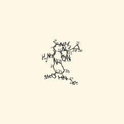 CO[C@H]1CN(/C(N)=C(/C=C(/C)N)c2nc(C3CC3)no2)CC[C@H]1NCC(C)C